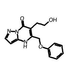 O=c1c(CCO)c(COc2ccccc2)[nH]c2ccnn12